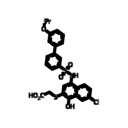 CC(C)Oc1cccc(-c2cccc(S(=O)(=O)Nc3cc(SCC(=O)O)c(O)c4cc(Cl)ccc34)c2)c1